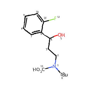 CC(C)(C)N(CCC(O)c1ccccc1F)C(=O)O